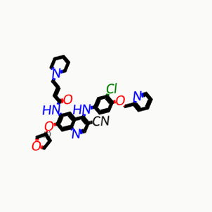 N#Cc1cnc2cc(O[C@H]3CCOC3)c(NC(=O)C=CCN3CCCCC3)cc2c1Nc1ccc(OCc2ccccn2)c(Cl)c1